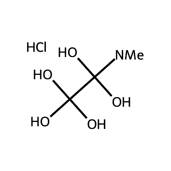 CNC(O)(O)C(O)(O)O.Cl